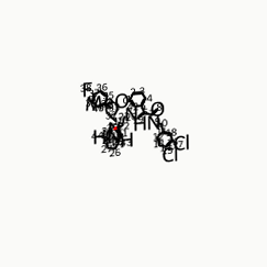 COc1cccc2c(C(=O)NCc3ccc(Cl)c(Cl)c3)cn(CCCN3[C@@H]4CC[C@H]3CN(CCOc3ccc(F)cc3)C4)c12